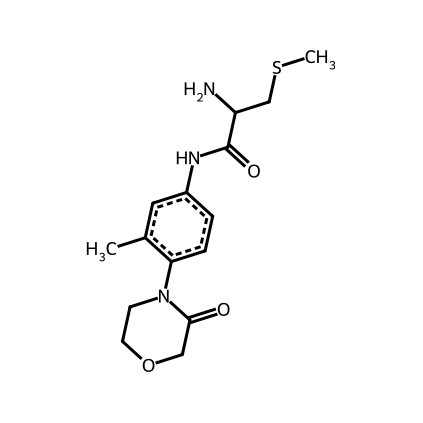 CSCC(N)C(=O)Nc1ccc(N2CCOCC2=O)c(C)c1